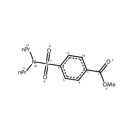 [CH2]OC(=O)c1ccc(S(=O)(=O)N(CCC)CCC)cc1